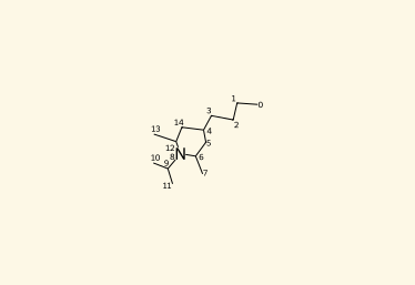 CCCCC1CC(C)N(C(C)C)C(C)C1